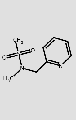 CN(Cc1ccc[c]n1)S(C)(=O)=O